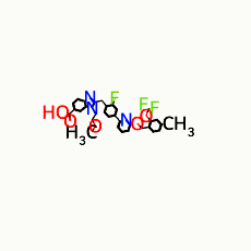 COCCn1c(Cc2ccc(-c3cccc(OCc4ccc(C)cc4OC(F)F)n3)cc2F)nc2ccc(C(=O)O)cc21